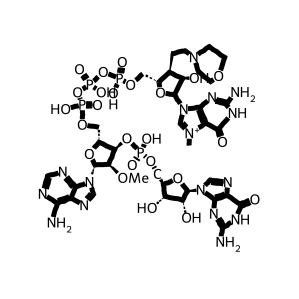 CO[C@@H]1[C@H](OP(=O)(O)OC[C@H]2O[C@@H](n3cnc4c(=O)[nH]c(N)nc43)[C@H](O)[C@@H]2O)[C@@H](COP(=O)(O)OP(=O)(O)OP(=O)(O)OC[C@H]2OC(n3c[n+](C)c4c(=O)[nH]c(N)nc43)[C@H](O)[C@@H]2CCN2CCOCC2)O[C@H]1n1cnc2c(N)ncnc21